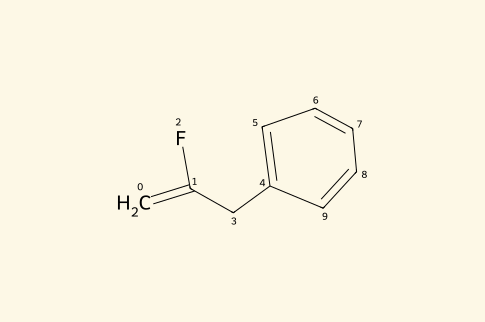 C=C(F)Cc1ccccc1